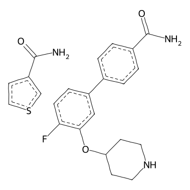 NC(=O)c1ccc(-c2ccc(F)c(OC3CCNCC3)c2)cc1.NC(=O)c1ccsc1